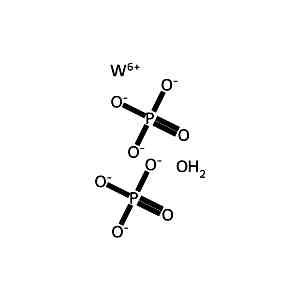 O.O=P([O-])([O-])[O-].O=P([O-])([O-])[O-].[W+6]